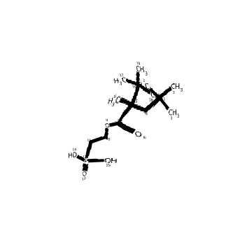 CC(C)(C)CC(C)(C(=O)OCCP(=O)(O)O)C(C)(C)C